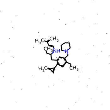 C=C(C)/C=C/NC(CC)Cc1cc(CN2CCCCC2)c(CC)cc1C1=CC1=C